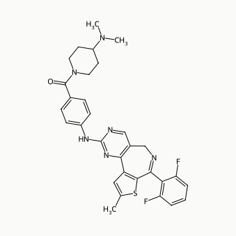 Cc1cc2c(s1)C(c1c(F)cccc1F)=NCc1cnc(Nc3ccc(C(=O)N4CCC(N(C)C)CC4)cc3)nc1-2